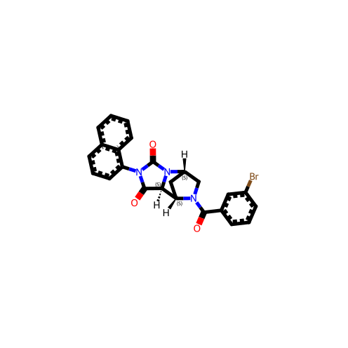 O=C1[C@@H]2[C@@H]3C[C@@H](CN3C(=O)c3cccc(Br)c3)N2C(=O)N1c1cccc2ccccc12